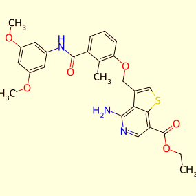 CCOC(=O)c1cnc(N)c2c(COc3cccc(C(=O)Nc4cc(OC)cc(OC)c4)c3C)csc12